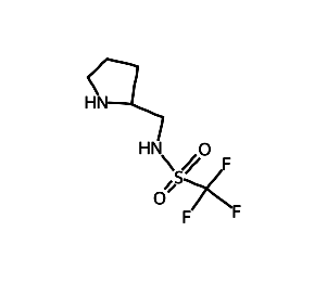 O=S(=O)(NCC1CCCN1)C(F)(F)F